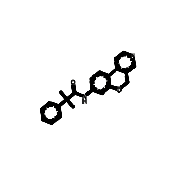 CC(C)(C(=O)Nc1ccc2c(c1)OCc1cnccc1-2)c1ccccc1